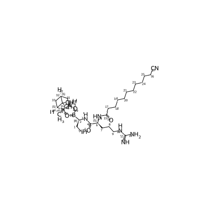 CC(C)C[C@H](NC(=O)[C@H](CCCNC(=N)N)NC(=O)CCCCCCCCCCC#N)B1O[C@@H]2C[C@@H]3C[C@@H](C3(C)C)[C@]2(C)O1